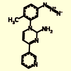 Cc1ccc(N=[N+]=[N-])cc1N1C=CC(c2cccnc2)=NC1N